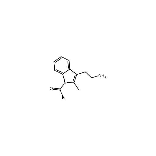 Cc1c(CCN)c2ccccc2n1C(=O)Br